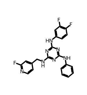 Fc1cc(CNc2nc(Nc3ccccc3)nc(Nc3ccc(F)c(F)c3)n2)ccn1